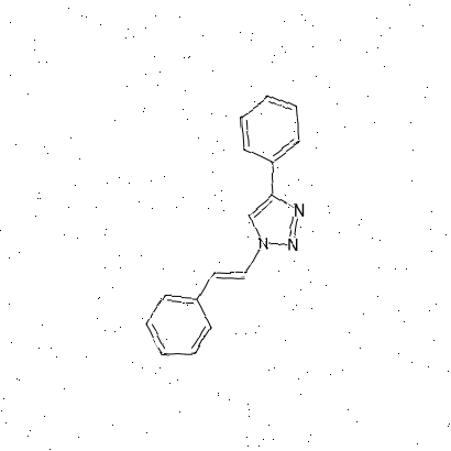 C(=Cn1cc(-c2ccccc2)nn1)c1ccccc1